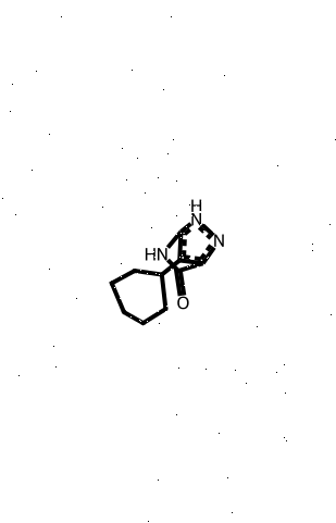 O=C1Nc2[nH]nc1c2C1CCCCC1